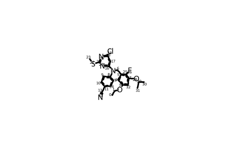 CCOc1cc(CN(c2ccc(C#N)cc2)c2cc(Cl)nc(SC)n2)c(F)c(OC(C)C)c1